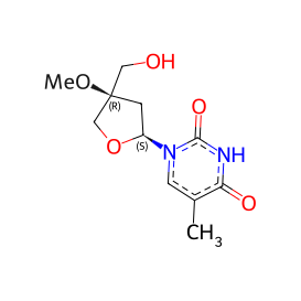 CO[C@]1(CO)CO[C@H](n2cc(C)c(=O)[nH]c2=O)C1